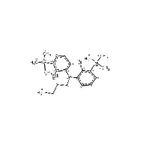 CCCCP(c1cccc([Si](C)(C)C)c1O)c1cccc([Si](C)(C)C)c1O